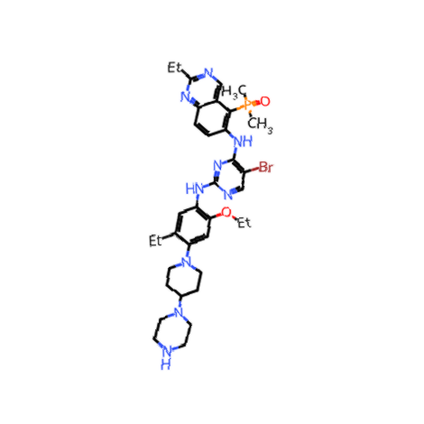 CCOc1cc(N2CCC(N3CCNCC3)CC2)c(CC)cc1Nc1ncc(Br)c(Nc2ccc3nc(CC)ncc3c2P(C)(C)=O)n1